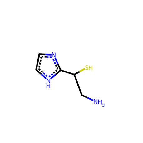 NCC(S)c1ncc[nH]1